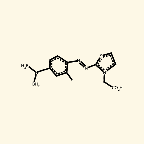 BN(B)c1ccc(/N=N/c2scc[n+]2CC(=O)O)c(C)c1